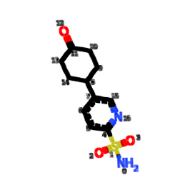 NS(=O)(=O)c1ccc(C2CCC(=O)CC2)cn1